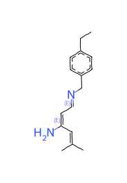 CCc1ccc(C/N=C/C=C(/N)C=C(C)C)cc1